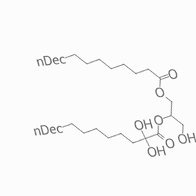 CCCCCCCCCCCCCCCCCC(=O)OCC(CO)OC(=O)C(O)(O)CCCCCCCCCCCCCCCC